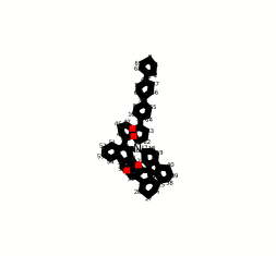 c1ccc(-c2ccc(-c3ccc(-c4ccc(N(c5ccc6c(c5)C5(c7ccccc7-c7ccccc75)c5ccccc5-6)c5c(-c6ccccc6)c6ccccc6c6ccccc56)cc4)cc3)cc2)cc1